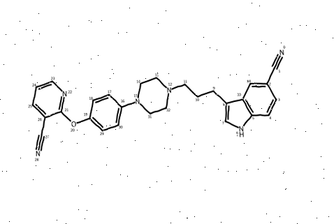 N#Cc1ccc2[nH]cc(CCCN3CCN(c4ccc(Oc5ncccc5C#N)cc4)CC3)c2c1